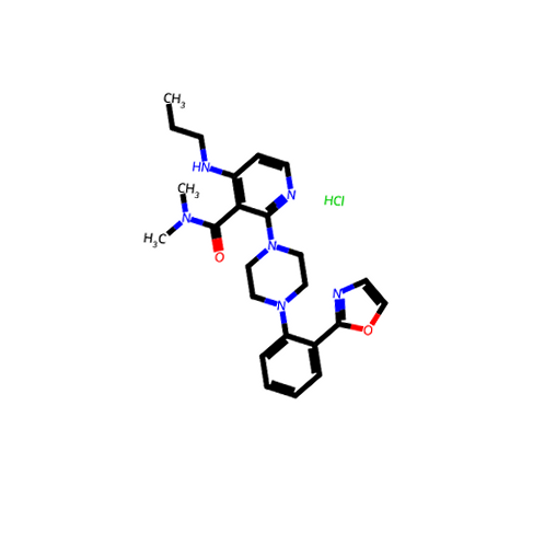 CCCNc1ccnc(N2CCN(c3ccccc3-c3ncco3)CC2)c1C(=O)N(C)C.Cl